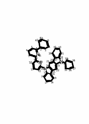 c1ccc(-c2cccc(-c3cccc(-n4c5ccccc5c5cc6c(cc54)c4ccccc4n6-c4ccccc4)n3)n2)cc1